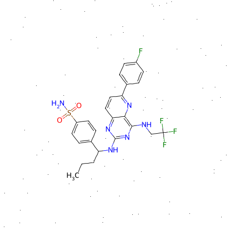 CCCC(Nc1nc(NCC(F)(F)F)c2nc(-c3ccc(F)cc3)ccc2n1)c1ccc(S(N)(=O)=O)cc1